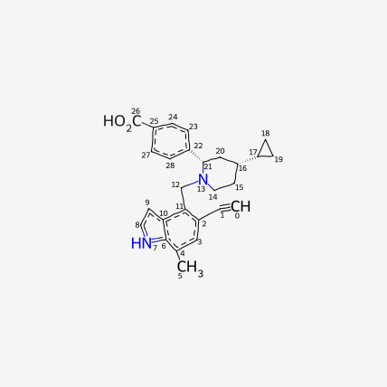 C#Cc1cc(C)c2[nH]ccc2c1CN1CC[C@@H](C2CC2)C[C@H]1c1ccc(C(=O)O)cc1